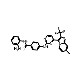 Cc1ccn2c(-c3ccnc(Nc4ccc(C(=O)Nc5ccccc5N)cc4)n3)c(C(F)(F)F)nc2c1